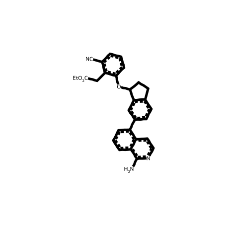 CCOC(=O)Cc1c(C#N)cccc1OC1CCc2ccc(-c3cccc4c(N)nccc34)cc21